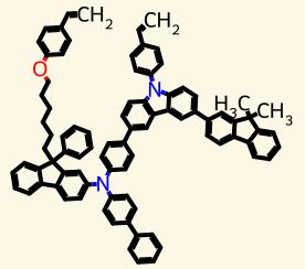 C=Cc1ccc(OCCCCCCC2(c3ccccc3)c3ccccc3-c3ccc(N(c4ccc(-c5ccccc5)cc4)c4ccc(-c5ccc6c(c5)c5cc(-c7ccc8c(c7)C(C)(C)c7ccccc7-8)ccc5n6-c5ccc(C=C)cc5)cc4)cc32)cc1